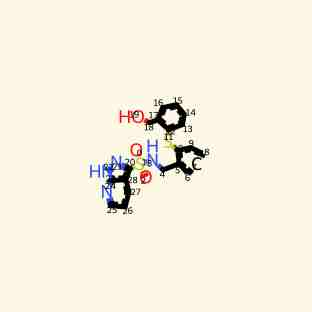 O=S(=O)(NCc1ccccc1Sc1ccccc1CO)c1n[nH]c2ncccc12